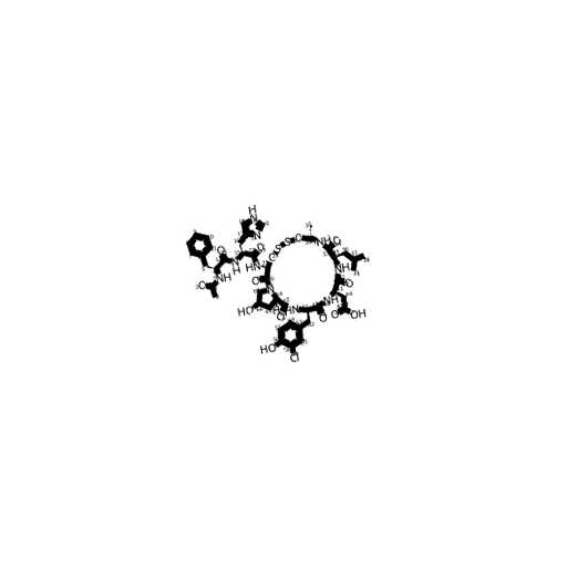 CC(=O)N[C@H](Cc1ccccc1)C(=O)N[C@H](Cc1c[nH]cn1)C(=O)N[C@@H]1CSSC[C@H](C)NC(=O)[C@@H](CC(C)C)NC(=O)[C@@H](CC(=O)O)NC(=O)[C@@H](Cc2ccc(O)c(Cl)c2)NC(=O)[C@H]2CC(O)CN2C1=O